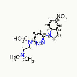 CN(C)CCN(C(=O)O)c1ccc(N2CCc3cc([N+](=O)[O-])ccc32)nn1